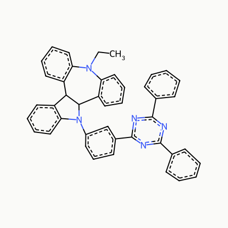 CCN1c2ccccc2C2c3ccccc3N(c3cccc(-c4nc(-c5ccccc5)nc(-c5ccccc5)n4)c3)C2c2ccccc21